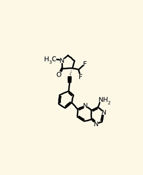 CN1CC[C@@](C#Cc2cccc(-c3ccc4ncnc(N)c4n3)c2)(C(F)F)C1=O